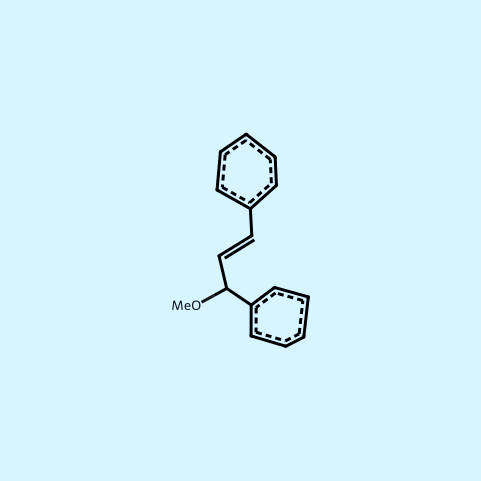 COC(C=Cc1ccccc1)c1ccccc1